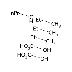 CCC.CCC.CCC.CCCC.O=C(O)O.O=C(O)O